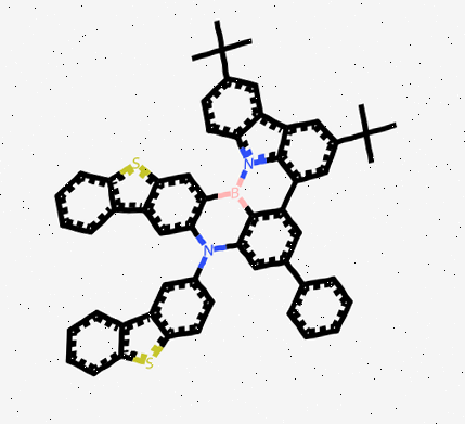 CC(C)(C)c1ccc2c(c1)c1cc(C(C)(C)C)cc3c1n2B1c2cc4sc5ccccc5c4cc2N(c2ccc4sc5ccccc5c4c2)c2cc(-c4ccccc4)cc-3c21